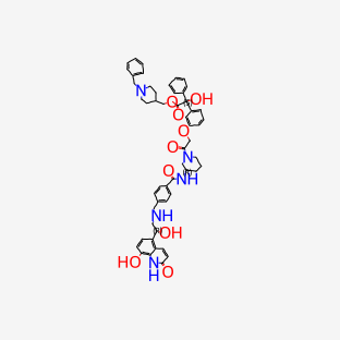 O=C(N[C@@H]1CCCN(C(=O)COc2cccc([C@](O)(C(=O)OCC3CCN(Cc4ccccc4)CC3)c3ccccc3)c2)C1)c1ccc(CNC[C@H](O)c2ccc(O)c3[nH]c(=O)ccc23)cc1